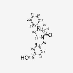 CC1(C)C(=O)N(Cc2ccc(CO)cc2)CCN1c1ccccc1